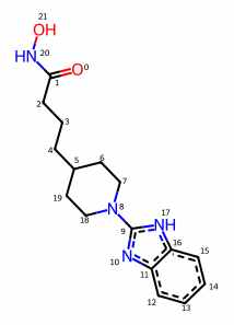 O=C(CCCC1CCN(c2nc3ccccc3[nH]2)CC1)NO